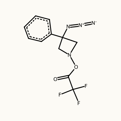 [N-]=[N+]=NC1(c2ccccc2)CN(OC(=O)C(F)(F)F)C1